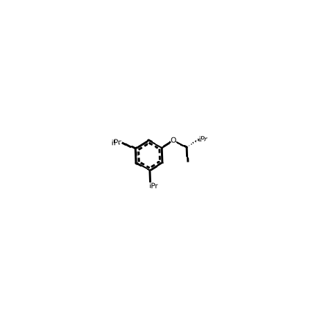 CC(C)c1cc(O[C@@H](C)C(C)C)cc(C(C)C)c1